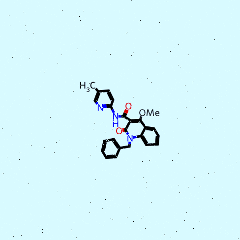 COc1c(C(=O)Nc2ccc(C)cn2)c(=O)n(Cc2ccccc2)c2ccccc12